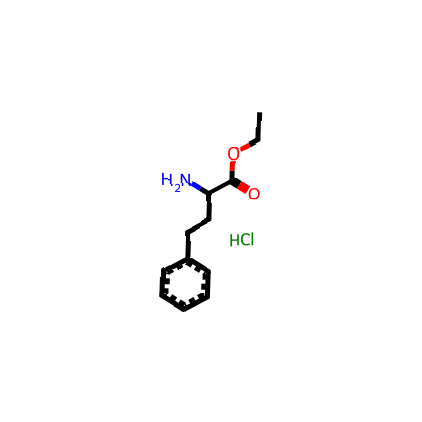 CCOC(=O)C(N)CCc1ccccc1.Cl